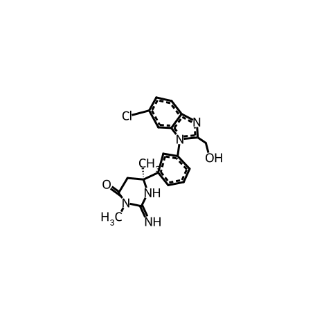 CN1C(=N)N[C@](C)(c2cccc(-n3c(CO)nc4ccc(Cl)cc43)c2)CC1=O